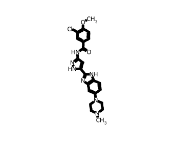 COc1ccc(C(=O)Nc2cc(-c3nc4cc(N5CCN(C)CC5)ccc4[nH]3)[nH]n2)cc1Cl